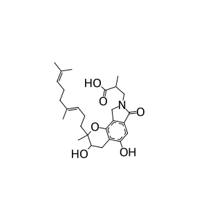 CC(C)=CCC/C(C)=C/CCC1(C)Oc2c(c(O)cc3c2CN(CC(C)C(=O)O)C3=O)CC1O